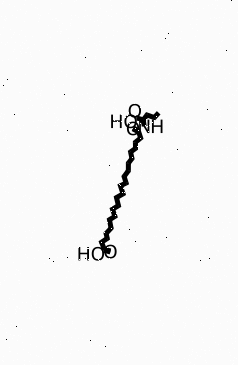 CCCC(NC(=O)CCCCCCCCCCCCCCCCCCCCC(=O)O)C(=O)O